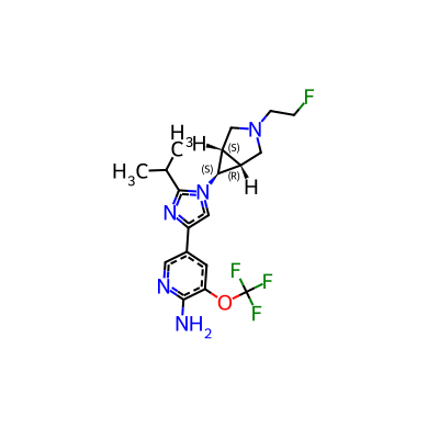 CC(C)c1nc(-c2cnc(N)c(OC(F)(F)F)c2)cn1[C@H]1[C@@H]2CN(CCF)C[C@@H]21